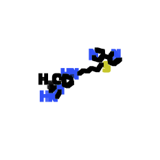 Cc1cc(NCCCCCCSc2ccncc2-c2ccncc2)ccc1N1CCNCC1